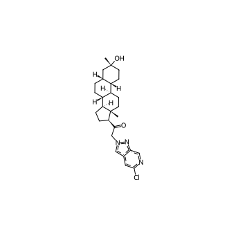 C[C@@]1(O)CC[C@H]2[C@H](CC[C@@H]3[C@@H]2CC[C@]2(C)[C@@H](C(=O)Cn4cc5cc(Cl)ncc5n4)CC[C@@H]32)C1